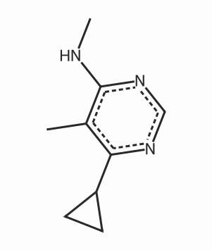 CNc1ncnc(C2CC2)c1C